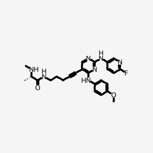 CN[C@@H](C)C(=O)NCCCC#Cc1cnc(Nc2ccc(F)nc2)nc1Nc1ccc(OC)cc1